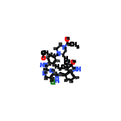 COc1cc(N2CCN(C(C)=O)CC2)ccc1Nc1ncc(Cl)c(NCc2cccc3c2C(C)(C)C(=O)N3)n1